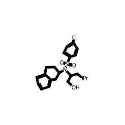 CC(C)CC(CO)N(C1CCc2ccccc2C1)S(=O)(=O)c1ccc(Cl)cc1